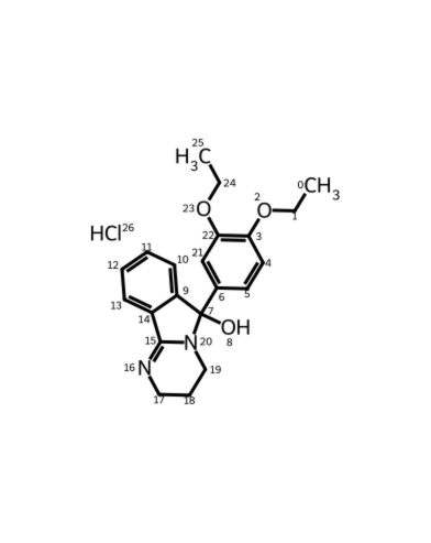 CCOc1ccc(C2(O)c3ccccc3C3=NCCCN32)cc1OCC.Cl